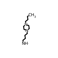 CCCCN1CCN(CCCC[NH])CC1